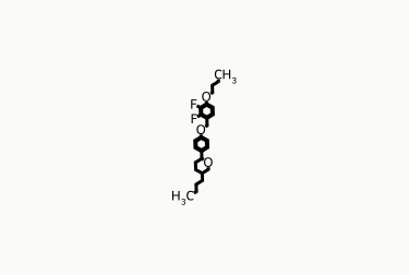 CCCCOc1ccc(COc2ccc(C3CCC(CCCC)CO3)cc2)c(F)c1F